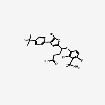 NC(=O)CCC(Oc1ccc(F)c(C(N)=O)c1F)c1nc(-c2ccc(C(F)(F)F)cc2)c(Br)o1